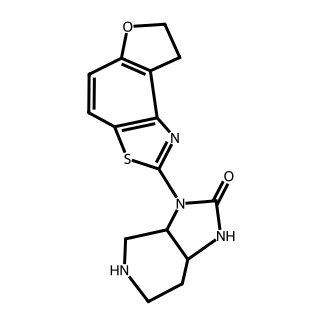 O=C1NC2CCNCC2N1c1nc2c3c(ccc2s1)OCC3